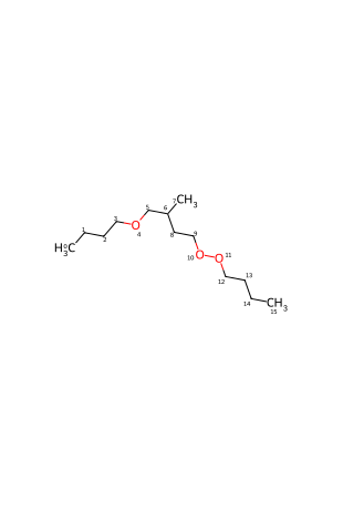 CCCCOCC(C)CCOOCCCC